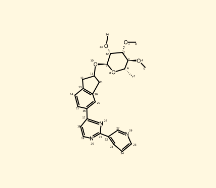 CO[C@@H]1[C@@H](OC)[C@H](C)O[C@@H](OC2Cc3ccc(-c4ccnc(-c5cccnc5)n4)cc3C2)[C@@H]1OC